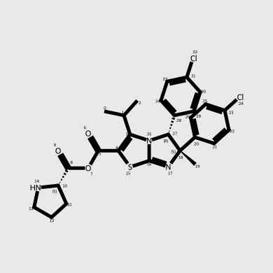 CC(C)C1=C(C(=O)OC(=O)[C@@H]2CCCN2)SC2=N[C@@](C)(c3ccc(Cl)cc3)[C@@H](c3ccc(Cl)cc3)N21